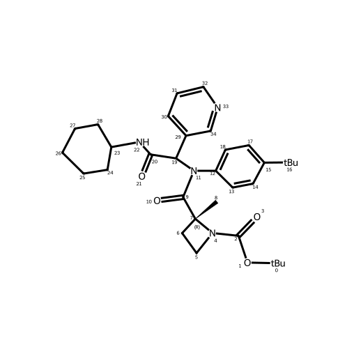 CC(C)(C)OC(=O)N1CC[C@]1(C)C(=O)N(c1ccc(C(C)(C)C)cc1)C(C(=O)NC1CCCCC1)c1cccnc1